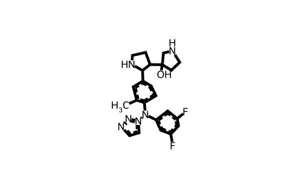 Cc1cc(C2NCCC2C2(O)CCNC2)ccc1N(c1cc(F)cc(F)c1)n1ccnn1